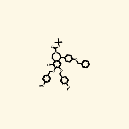 COc1ccc(COc2cc3c(c(Cl)c2OCc2ccc(OC)cc2)CCN(C(=O)OC(C)(C)C)CC3c2ccc(OCc3ccccc3)cc2)cc1